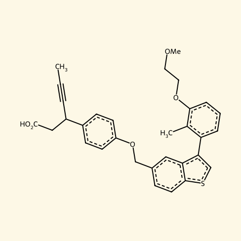 CC#CC(CC(=O)O)c1ccc(OCc2ccc3scc(-c4cccc(OCCOC)c4C)c3c2)cc1